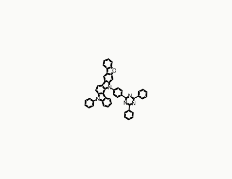 c1ccc(-c2nc(-c3ccccc3)nc(-c3ccc(-n4c5cc6oc7ccccc7c6cc5c5ccc6c(c7ccccc7n6-c6ccccc6)c54)cc3)n2)cc1